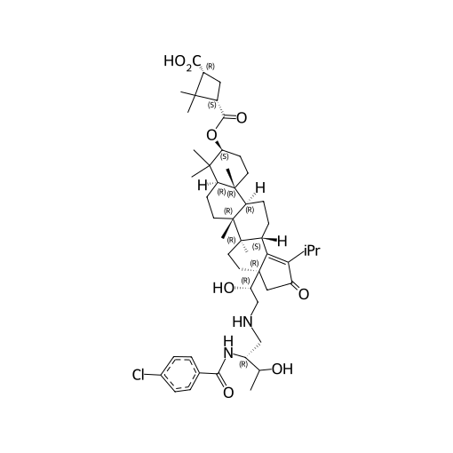 CC(C)C1=C2[C@H]3CC[C@@H]4[C@@]5(C)CC[C@H](OC(=O)[C@H]6C[C@@H](C(=O)O)C6(C)C)C(C)(C)[C@@H]5CC[C@@]4(C)[C@]3(C)CC[C@@]2([C@@H](O)CNC[C@@H](NC(=O)c2ccc(Cl)cc2)C(C)O)CC1=O